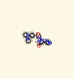 Cn1c(N2CCOC(c3ccc(N4CCCCC4N4CCCCC4)cc3)C2)nc(-c2ccncn2)cc1=O